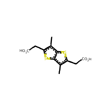 Cc1c(CC(=O)O)sc2c(C)c(CC(=O)O)sc12